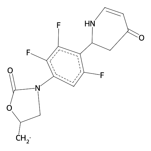 [CH2]C1CN(c2cc(F)c(C3CC(=O)C=CN3)c(F)c2F)C(=O)O1